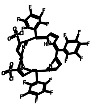 O=S(=O)(Cl)C1=Cc2nc1c(-c1c(F)c(F)c(F)c(F)c1F)c1ccc([nH]1)c(-c1c(F)c(F)c(F)c(F)c1F)c1ccc([nH]1)c(-c1c(F)c(F)c(F)c(F)c1F)c1cc(S(=O)(=O)Cl)c2[nH]1